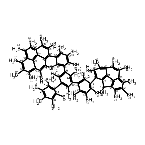 Bc1c(B)c(B)c(-c2c(B)c(-c3c(B)c(B)c(B)c(-c4c(B)c(B)c5c(B)c(B)c6c(B)c(B)c(B)c7c6c5c4C7B)c3B)c(B)c(-c3c(B)c(B)c(B)c(-c4c(B)c(B)c5c(B)c(B)c6c(B)c(B)c(B)c7c(B)c(B)c4c5c67)c3B)c2B)c(B)c1B